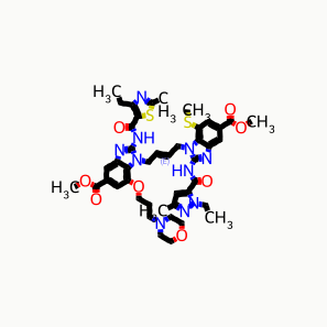 CCc1nc(C)sc1C(=O)Nc1nc2cc(C(=O)OC)cc(OCCCN3CCOCC3)c2n1C/C=C/Cn1c(NC(=O)c2cc(C)nn2CC)nc2cc(C(=O)OC)cc(SC)c21